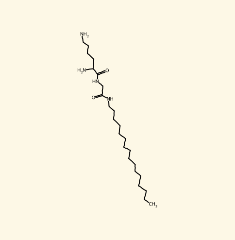 CCCCCCCCCCCCCCCCNC(=O)CNC(=O)C(N)CCCCN